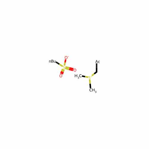 CC(=O)C[S+](C)C.CCCCS(=O)(=O)[O-]